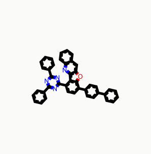 c1ccc(-c2ccc(-c3ccc(-c4nc(-c5ccccc5)nc(-c5ccccc5)n4)c4c3oc3cc5ccccc5nc34)cc2)cc1